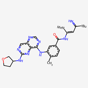 CN/C(=C\C(=N)C(C)(C)C)NC(=O)c1ccc(C)c(Nc2ncnc3cnc(NC4CCOC4)nc23)c1